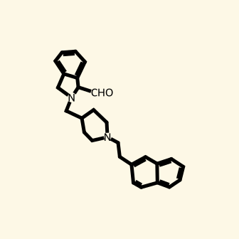 O=CC1c2ccccc2CN1CC1CCN(CCc2ccc3ccccc3c2)CC1